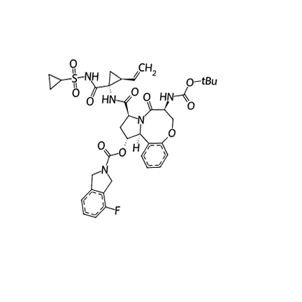 C=C[C@@H]1C[C@]1(NC(=O)[C@@H]1C[C@@H](OC(=O)N2Cc3cccc(F)c3C2)[C@@H]2c3ccccc3OC[C@H](NC(=O)OC(C)(C)C)C(=O)N12)C(=O)NS(=O)(=O)C1CC1